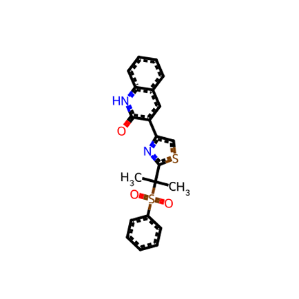 CC(C)(c1nc(-c2cc3ccccc3[nH]c2=O)cs1)S(=O)(=O)c1ccccc1